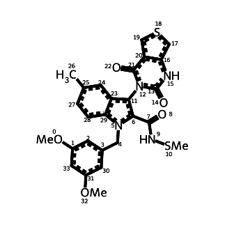 COc1cc(Cn2c(C(=O)NSC)c(-n3c(=O)[nH]c4cscc4c3=O)c3cc(C)ccc32)cc(OC)c1